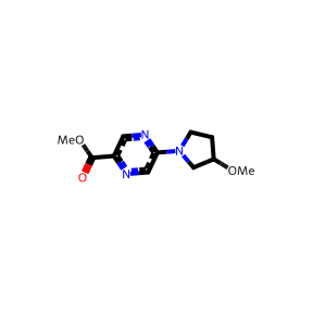 COC(=O)c1cnc(N2CCC(OC)C2)cn1